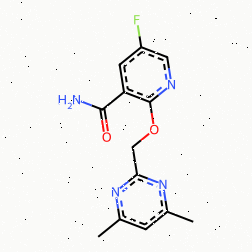 Cc1cc(C)nc(COc2ncc(F)cc2C(N)=O)n1